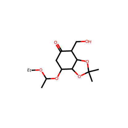 CCOC(C)OC1CC(=O)C(CO)C2OC(C)(C)OC12